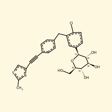 Cc1nc(C#Cc2ccc(Cc3cc([C@@H]4O[C@H](CO)[C@@H](O)[C@H](O)[C@H]4O)ccc3Cl)cc2)cs1